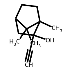 C#CC1(O)CC2CCC1(C)C2(C)C